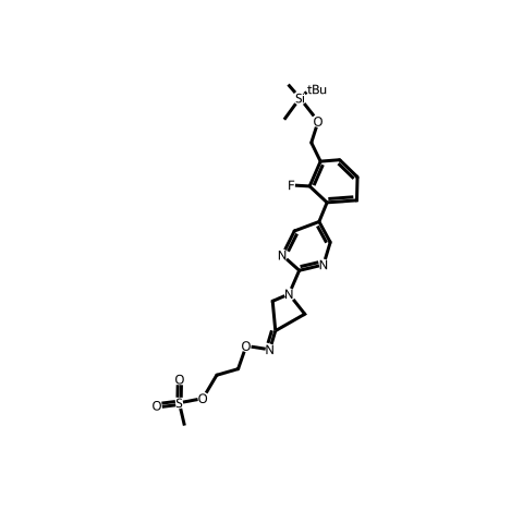 CC(C)(C)[Si](C)(C)OCc1cccc(-c2cnc(N3CC(=NOCCOS(C)(=O)=O)C3)nc2)c1F